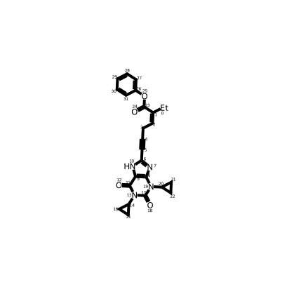 CC/C(=C/CC#Cc1nc2c([nH]1)c(=O)n(C1CC1)c(=O)n2C1CC1)C(=O)Oc1ccccc1